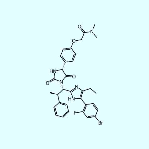 CCc1nc([C@H]([C@H](C)c2ccccc2)N2C(=O)N[C@H](c3ccc(OCC(=O)N(C)C)cc3)C2=O)[nH]c1-c1ccc(Br)cc1F